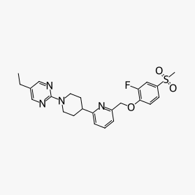 CCc1cnc(N2CCC(c3cccc(COc4ccc(S(C)(=O)=O)cc4F)n3)CC2)nc1